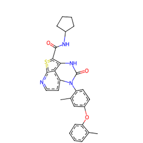 Cc1ccccc1Oc1ccc(N2C(=O)Nc3c(C(=O)NC4CCCC4)sc4nccc2c34)c(C)c1